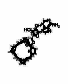 Nc1ncnc2c1ncn2[C@@H]1O[C@H](COC(=O)C23CCC(=N2)C=C2CCC(=N2)C=C2CCC(=N2)C=C2CCC3N2)[C@@H](O)[C@H]1O